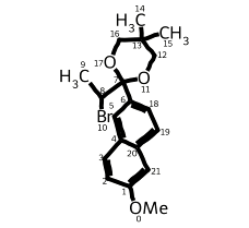 COc1ccc2cc(C3(C(C)Br)OCC(C)(C)CO3)ccc2c1